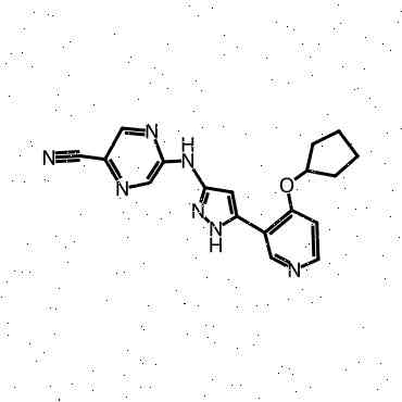 N#Cc1cnc(Nc2cc(-c3cnccc3OC3CCCC3)[nH]n2)cn1